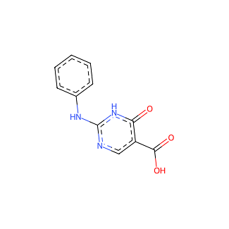 O=C(O)c1cnc(Nc2ccccc2)[nH]c1=O